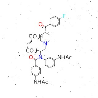 CC(=O)Nc1ccc(C(=O)N(CCN2CCC(C(=O)c3ccc(F)cc3)CC2)c2cccc(NC(C)=O)c2)cc1.O=C(O)C=CC(=O)O